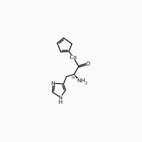 N[C@@H](Cc1c[nH]cn1)[C](=O)[Co][C]1=CC=CC1